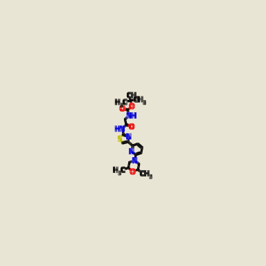 CC1CN(c2cccc(-c3csc(NC(=O)CNC(=O)OC(C)(C)C)n3)n2)CC(C)O1